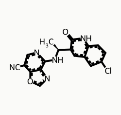 C[C@H](Nc1ncc(C#N)c2ocnc12)c1cc2cc(Cl)ccc2[nH]c1=O